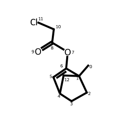 CC12CCC(C=C1OC(=O)CCl)C2